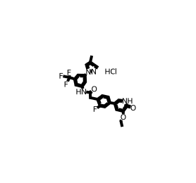 CCOc1cc(-c2ccc(CC(=O)Nc3cc(-n4cc(C)cn4)cc(C(F)(F)F)c3)c(F)c2)c[nH]c1=O.Cl